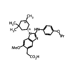 COc1cc2c(cc1CC(=O)O)nc(Nc1ccc(OC(C)C)cc1)n2[C@H]1C[C@H](C)CC(C)(C)C1